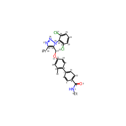 CCNC(=O)c1ccc(-c2ccc(OCc3c(C(C)C)nnn3-c3c(Cl)cccc3Cl)cc2C)cc1